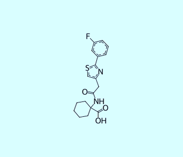 O=C(Cc1csc(-c2cccc(F)c2)n1)NC1(C(=O)O)CCCCC1